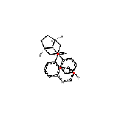 O=C(c1cccc2ncccc12)N1[C@@H]2CC[C@H]1C[C@@H](c1ccc(F)cc1)C2